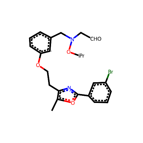 Cc1oc(-c2cccc(Br)c2)nc1CCOc1[c]c(CN(CC=O)OC(C)C)ccc1